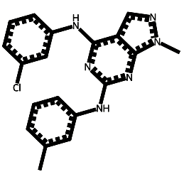 Cc1cccc(Nc2nc(Nc3cccc(Cl)c3)c3cnn(C)c3n2)c1